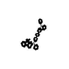 CC1(C)c2ccccc2-c2ccc(N(c3ccccc3)c3ccc(-c4ccc(-c5ccc6c(c5)c5ccccc5n6-c5ccccc5)cc4)cc3)cc21